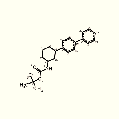 CC(C)(C)OC(=O)NC1CCCC(c2ccc(-c3ccccc3)cc2)C1